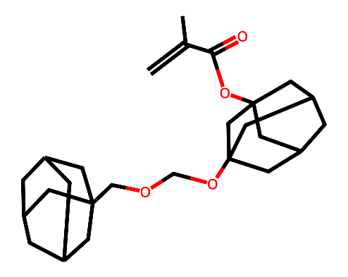 C=C(C)C(=O)OC12CC3CC(CC(OCOCC45CC6CC(CC(C6)C4)C5)(C3)C1)C2